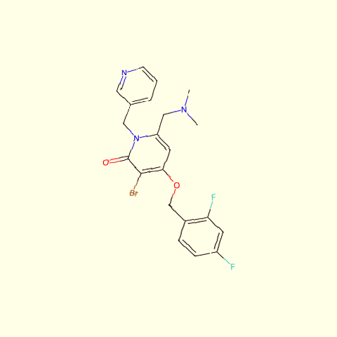 CN(C)Cc1cc(OCc2ccc(F)cc2F)c(Br)c(=O)n1Cc1cccnc1